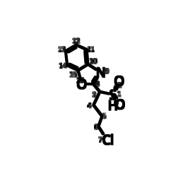 O=[SH](=O)C(CCCCl)c1nc2ccccc2o1